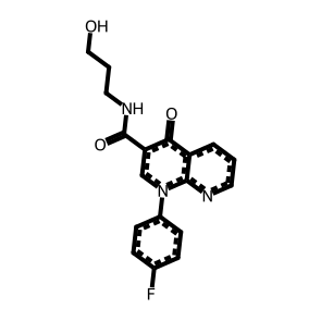 O=C(NCCCO)c1cn(-c2ccc(F)cc2)c2ncccc2c1=O